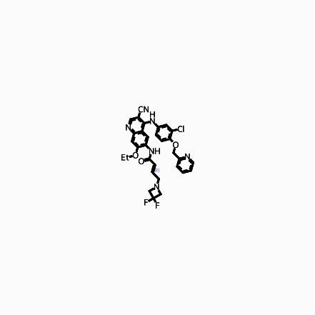 CCOc1cc2ncc(C#N)c(Nc3ccc(OCc4ccccn4)c(Cl)c3)c2cc1NC(=O)/C=C/CN1CC(F)(F)C1